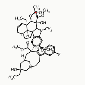 CC[C@]1(O)C[C@@H]2CN(CCc3c([nH]c4ccc(F)cc34)[C@@](C(=O)OC)(c3cc4c(cc3OC)N(C)C3C(O)(C(=O)OC)[C@H](OC(C)=O)[C@]5(CC)C=CCN6CC[C@]43[C@@H]65)C2)C1